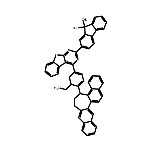 CCC1CC(c2nc(-c3ccc4c(c3)C(C)(C)c3ccccc3-4)nc3oc4ccccc4c23)=CC=C1C1CCc2cc3ccccc3cc2-c2ccc3ccccc3c21